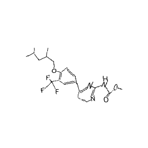 COC(=O)Nc1nccc(-c2ccc(OCC(C)CC(C)C)c(C(F)(F)F)c2)n1